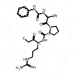 CC(C)C(NC(=O)Nc1ccccc1)C(=O)N1CCC[C@H]1C(=O)N[C@@H](CCCNC(=N)N)C(=O)CF